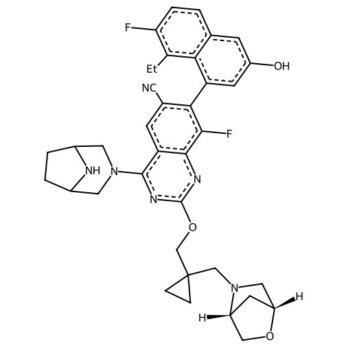 CCc1c(F)ccc2cc(O)cc(-c3c(C#N)cc4c(N5CC6CCC(C5)N6)nc(OCC5(CN6C[C@H]7C[C@@H]6CO7)CC5)nc4c3F)c12